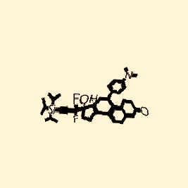 CC(C)[Si](C#CC(F)(F)[C@]1(O)CCC2C3CCC4=CC(=O)CCC4=C3C(c3ccc(N(C)C)cc3)C[C@@]21C)(C(C)C)C(C)C